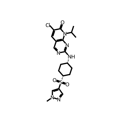 CC(C)n1c(=O)c(Cl)cc2cnc(N[C@H]3CC[C@@H](S(=O)(=O)c4cnn(C)c4)CC3)nc21